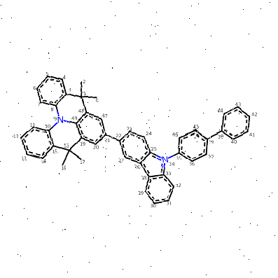 CC1(C)c2ccccc2N2c3ccccc3C(C)(C)c3cc(-c4ccc5c(c4)c4ccccc4n5-c4ccc(-c5ccccc5)cc4)cc1c32